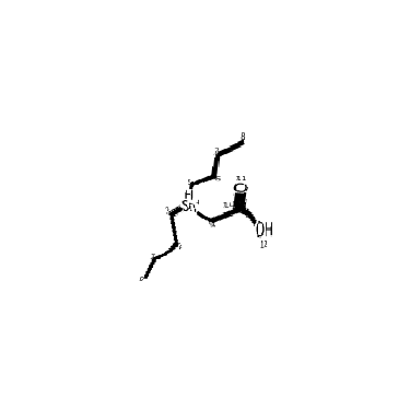 CCC[CH2][SnH]([CH2]CCC)[CH2]C(=O)O